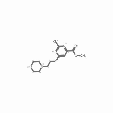 COC(=O)c1cc(OCCN2CCOCC2)nc(Cl)n1